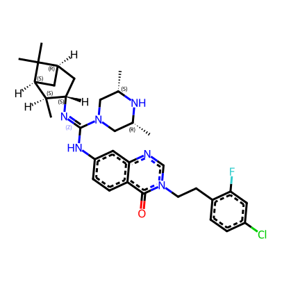 C[C@@H]1[C@@H](/N=C(/Nc2ccc3c(=O)n(CCc4ccc(Cl)cc4F)cnc3c2)N2C[C@@H](C)N[C@@H](C)C2)C[C@H]2C[C@@H]1C2(C)C